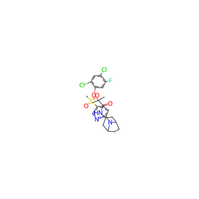 CC(C)(Oc1cc(F)c(Cl)cc1Cl)C(=O)NC1CC2CCC(C1)N2c1ccc(S(C)(=O)=O)cn1